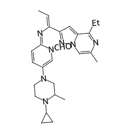 C/C=C(\N=c1\ccc(N2CCN(C3CC3)C(C)C2)cn1C=O)c1cc2c(CC)nc(C)cn2n1